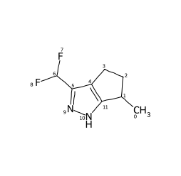 CC1CCc2c(C(F)F)n[nH]c21